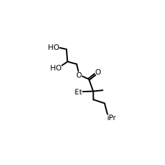 CCC(C)(CCC(C)C)C(=O)OCC(O)CO